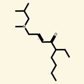 CCCCC(CC)C(=O)/C=C/CN(C)CC(C)C